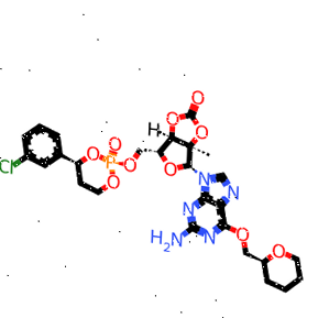 C[C@@]12OC(=O)O[C@@H]1[C@@H](CO[P@@]1(=O)OCC[C@@H](c3cccc(Cl)c3)O1)O[C@H]2n1cnc2c(OC[C@@H]3CCCCO3)nc(N)nc21